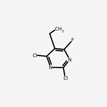 CCc1c(F)nc(Cl)nc1Cl